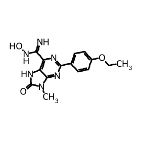 CCOc1ccc(-c2nc(C(=N)NO)c3[nH]c(=O)n(C)c3n2)cc1